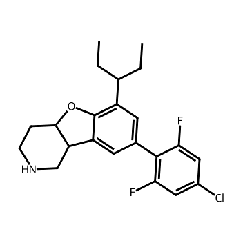 CCC(CC)c1cc(-c2c(F)cc(Cl)cc2F)cc2c1OC1CCNCC21